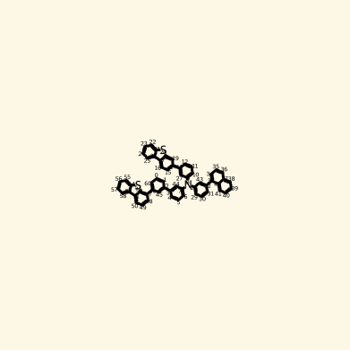 c1cc(-c2cccc(N(c3cccc(-c4ccc5c(c4)sc4ccccc45)c3)c3cccc(-c4cccc5ccccc45)c3)c2)cc(-c2cccc3c2sc2ccccc23)c1